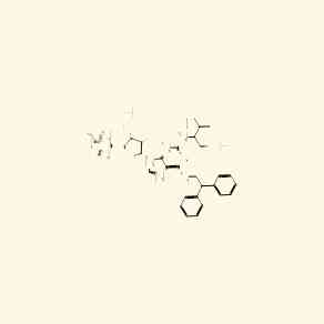 CC(C)C(CO)Nc1nc(NCC(c2ccccc2)c2ccccc2)c2ncn([C@@H]3O[C@H](c4nnn(C)n4)[C@@H](O)[C@H]3O)c2n1